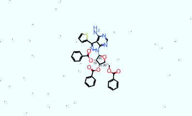 Nc1ncnc2c1c(-c1cccs1)nn2[C@@H]1O[C@H](COC(=O)c2ccccc2)[C@H](OC(=O)c2ccccc2)[C@@H]1OC(=O)c1ccccc1